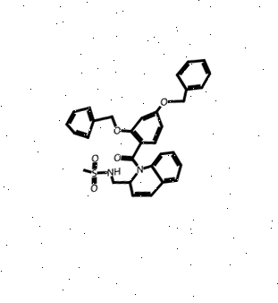 CS(=O)(=O)NCC1C=Cc2ccccc2N1C(=O)c1ccc(OCc2ccccc2)cc1OCc1ccccc1